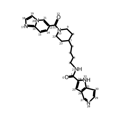 O=C(NCCCCC1CCN(C(=O)c2ccc3nccn3c2)CC1)c1cc2cnccc2[nH]1